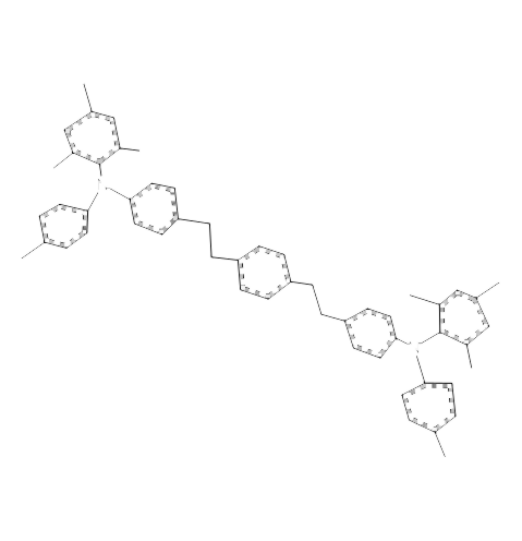 Cc1ccc(N(c2ccc(CCc3ccc(CCc4ccc(N(c5ccc(C)cc5)c5c(C)cc(C)cc5C)cc4)cc3)cc2)c2c(C)cc(C)cc2C)cc1